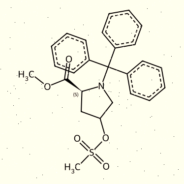 COC(=O)[C@@H]1CC(OS(C)(=O)=O)CN1C(c1ccccc1)(c1ccccc1)c1ccccc1